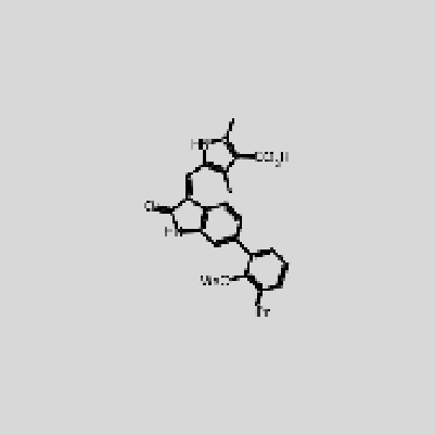 COc1c(-c2ccc3c(c2)NC(=O)C3=Cc2[nH]c(C)c(C(=O)O)c2C)cccc1C(C)C